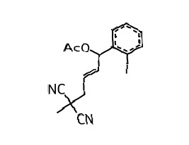 CC(=O)OC(C=CCC(C)(C#N)C#N)c1ccccc1I